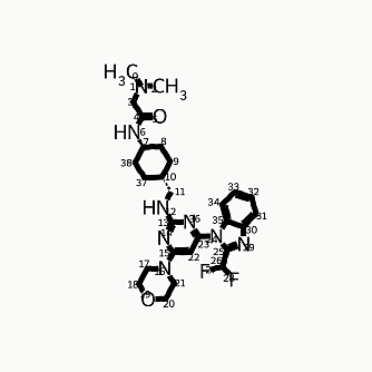 CN(C)CC(=O)N[C@H]1CC[C@H](CNc2nc(N3CCOCC3)cc(-n3c(C(F)F)nc4ccccc43)n2)CC1